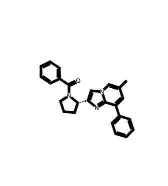 Cc1cc(-c2ccccc2)c2nc([C@@H]3CCCN3C(=O)c3ccccc3)cn2c1